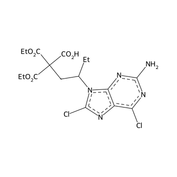 CCOC(=O)C(CC(CC)n1c(Cl)nc2c(Cl)nc(N)nc21)(C(=O)O)C(=O)OCC